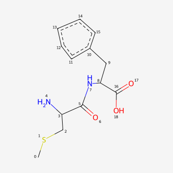 CSCC(N)C(=O)NC(Cc1ccccc1)C(=O)O